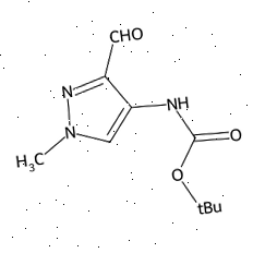 Cn1cc(NC(=O)OC(C)(C)C)c(C=O)n1